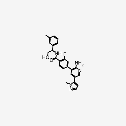 Cc1cccc(C(CO)NC(=O)c2ccc(-c3cc(-c4ccnn4C)cnc3N)cc2F)c1